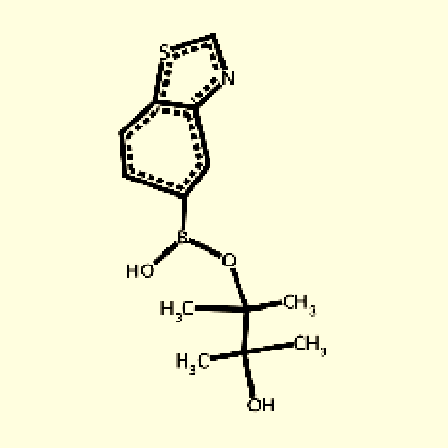 CC(C)(O)C(C)(C)OB(O)c1ccc2scnc2c1